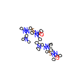 c1ccc(-c2nc(-c3ccc4c5c(-c6cccc(-c7nc(-c8cccc9c8sc8cccc(-c%10nc(-c%11ccccc%11)nc(-c%11ccc%12c(c%11)c%11ccccc%11n%12-c%11ccccc%11)n%10)c89)nc8c7oc7ccccc78)c6)cccc5n(-c5ccccc5)c4c3)nc(-c3cccc4sc5c(-c6nc(-c7ccccc7)c7oc8ccccc8c7n6)cccc5c34)n2)cc1